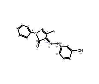 CC1=NN(c2ccccc2)C(=O)/C1=N/Nc1cccc(O)c1